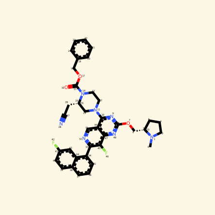 CN1CCC[C@H]1COc1nc(N2CCN(C(=O)OCc3ccccc3)[C@@H](CC#N)C2)c2cnc(-c3cccc4ccc(F)cc34)c(F)c2n1